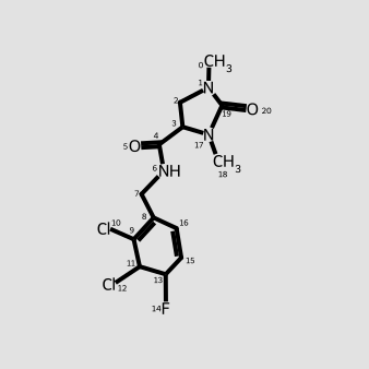 CN1CC(C(=O)NCC2=C(Cl)C(Cl)C(F)C=C2)N(C)C1=O